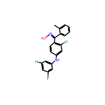 Cc1ccccc1C(=NO)c1ccc(Nc2cc(F)cc(F)c2)cc1Cl